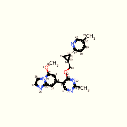 COc1cc(-c2cnc(C)nc2OC[C@H]2C[C@@H]2c2ccc(C)cn2)cc2nccn12